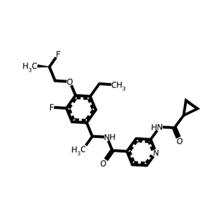 CCc1cc(C(C)NC(=O)c2ccnc(NC(=O)C3CC3)c2)cc(F)c1OC[C@@H](C)F